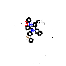 Cc1cc2c3c(c1)N1c4ccccc4Oc4cccc(c41)B3N(c1ccc3sc4ccccc4c3c1)c1cc3ccccc3cc1-2